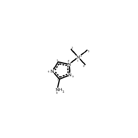 C[N+](C)(C)n1cnc(N)n1